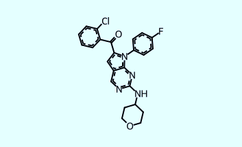 O=C(c1ccccc1Cl)c1cc2cnc(NC3CCOCC3)nc2n1-c1ccc(F)cc1